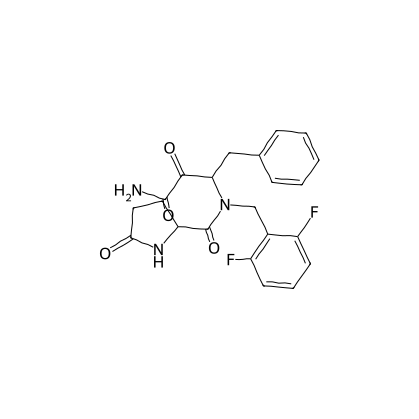 NC(=O)C(=O)C(Cc1ccccc1)N(Cc1c(F)cccc1F)C(=O)C1CCC(=O)N1